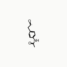 CC(=O)Nc1ccc(C[C]=O)cc1